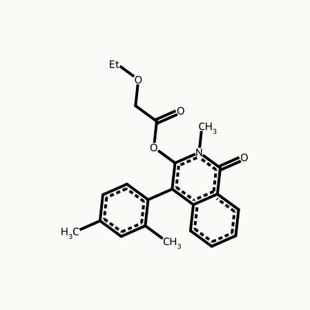 CCOCC(=O)Oc1c(-c2ccc(C)cc2C)c2ccccc2c(=O)n1C